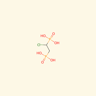 O=P(O)(O)CC(Cl)P(=O)(O)O